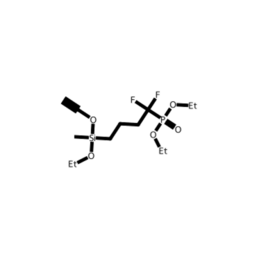 C#CO[Si](C)(CCCC(F)(F)P(=O)(OCC)OCC)OCC